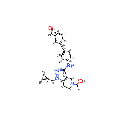 CC(=O)N1CCC(NCC2CC2)=C(C(=N)Nc2ccc(-c3cccc(CO)c3)cc2)C1